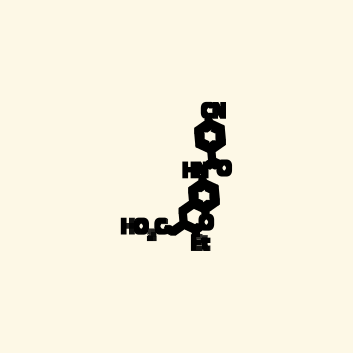 CCC1Oc2ccc(NC(=O)c3ccc(C#N)cc3)cc2CC1CC(=O)O